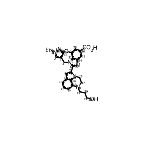 CCn1cc(Cn2c(-c3cc4cccc5c4n3CCN5CCCO)nc3cc(C(=O)O)cc(OC)c32)cn1